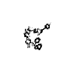 CCc1nc2ccc(N3CCN[C@@H](CO[Si](c4ccccc4)(c4ccccc4)C(C)(C)C)C3)nn2c1NCc1nc(-c2ccc(F)cc2)cs1